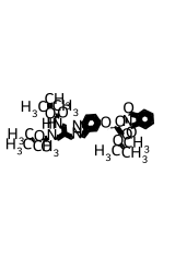 CC(C)(C)OC(=O)NCC(CNC(=O)OC(C)(C)C)Cn1cc2cc(OC[C@H](ON3C(=O)c4ccccc4C3=O)C(=O)OC(C)(C)C)ccc2n1